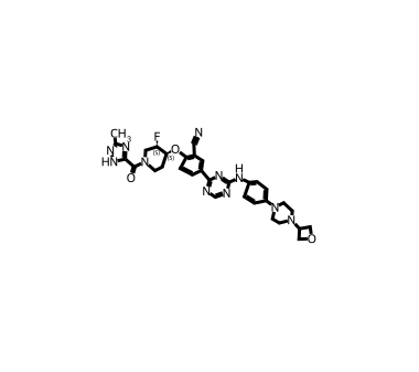 Cc1n[nH]c(C(=O)N2CC[C@H](Oc3ccc(-c4ncnc(Nc5ccc(N6CCN(C7COC7)CC6)cc5)n4)cc3C#N)[C@@H](F)C2)n1